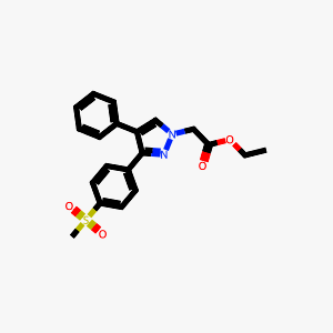 CCOC(=O)Cn1cc(-c2ccccc2)c(-c2ccc(S(C)(=O)=O)cc2)n1